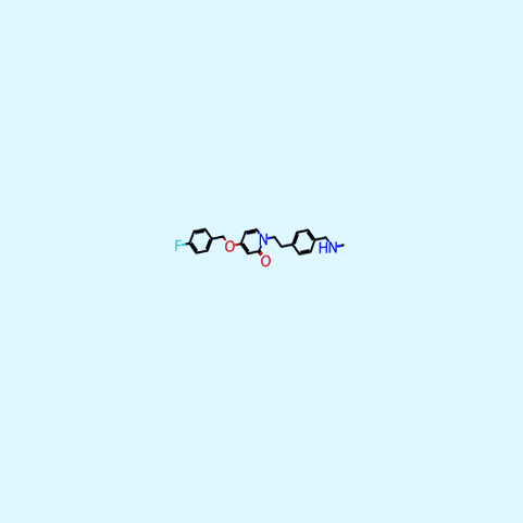 CNCc1ccc(CCn2ccc(OCc3ccc(F)cc3)cc2=O)cc1